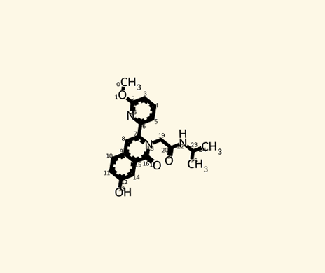 COc1cccc(-c2cc3ccc(O)cc3c(=O)n2CC(=O)NC(C)C)n1